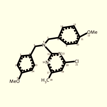 COc1ccc(CN(Cc2ccc(OC)cc2)c2nc(C)cc(Cl)n2)cc1